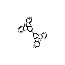 c1cc2c(cn1)c1cc(-c3cc4c5cnccc5n5c6ccncc6c(c3)c45)cc3c4cnccc4n2c13